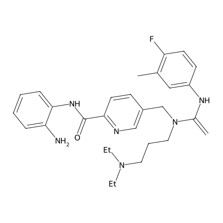 C=C(Nc1ccc(F)c(C)c1)N(CCCN(CC)CC)Cc1ccc(C(=O)Nc2ccccc2N)nc1